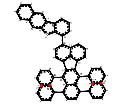 c1ccc(-c2ccc(-c3ccccc3)c3c(-c4ccccc4)c4c(c(-c5ccccc5)c23)-c2cccc3c(-c5cccc6c5sc5cc7ccccc7cc56)ccc-4c23)cc1